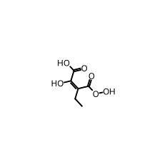 CCC(C(=O)OO)=C(O)C(=O)O